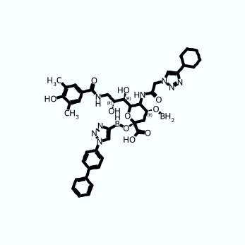 BO[C@@H]1C[C@](OBc2cn(-c3ccc(-c4ccccc4)cc3)nn2)(C(=O)O)OC([C@H](O)[C@H](O)CNC(=O)c2cc(C)c(O)c(C)c2)C1NC(=O)Cn1cc(C2CCCCC2)nn1